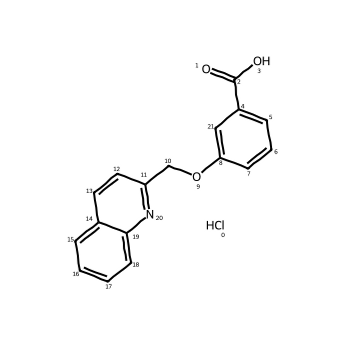 Cl.O=C(O)c1cccc(OCc2ccc3ccccc3n2)c1